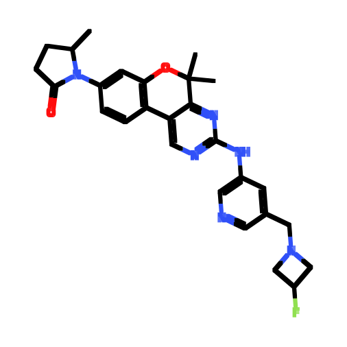 CC1CCC(=O)N1c1ccc2c(c1)OC(C)(C)c1nc(Nc3cncc(CN4CC(F)C4)c3)ncc1-2